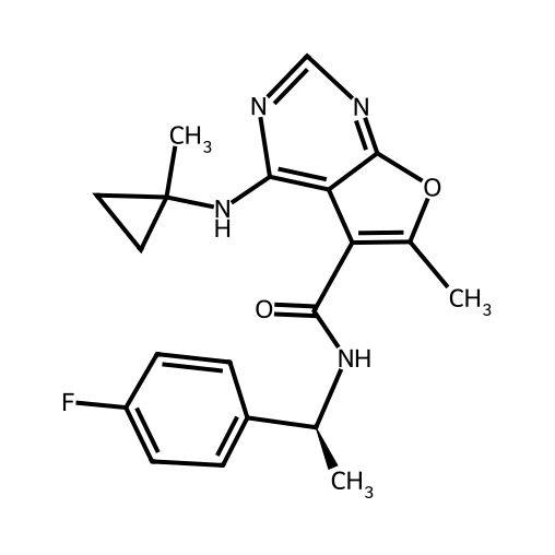 Cc1oc2ncnc(NC3(C)CC3)c2c1C(=O)N[C@@H](C)c1ccc(F)cc1